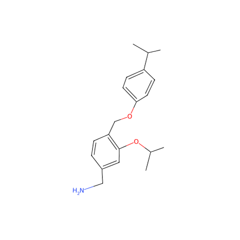 CC(C)Oc1cc(CN)ccc1COc1ccc(C(C)C)cc1